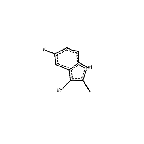 Cc1[nH]c2ccc(F)cc2c1C(C)C